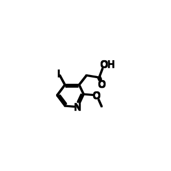 COc1nccc(I)c1CC(=O)O